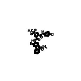 CS(=O)(=O)c1ccccc1-c1ccc(NC(=O)[C@H]2CN(S(C)(=O)=O)C[C@@H]2C(=O)Nc2ccc(Cl)cc2)c(F)c1